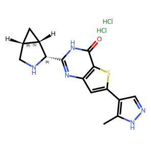 Cc1[nH]ncc1-c1cc2nc([C@@H]3NC[C@@H]4C[C@@H]43)[nH]c(=O)c2s1.Cl.Cl